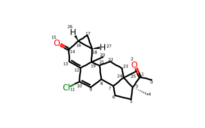 CC(=O)[C@@]1(C)CCC2C3C=C(Cl)C4=CC(=O)[C@@H]5C[C@@H]5C4(C)C3CCC21C